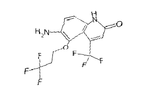 Nc1ccc2[nH]c(=O)cc(C(F)(F)F)c2c1OCCC(F)(F)F